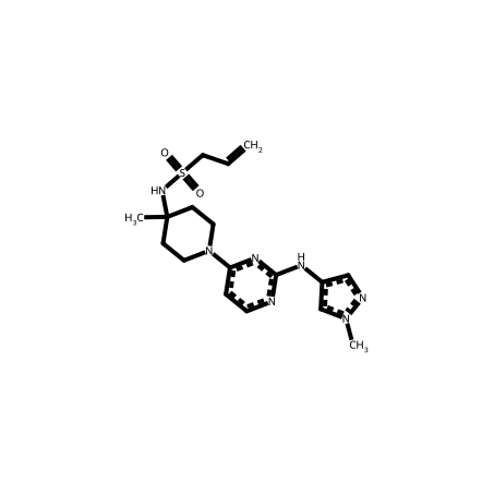 C=CCS(=O)(=O)NC1(C)CCN(c2ccnc(Nc3cnn(C)c3)n2)CC1